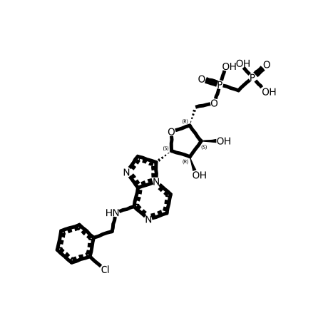 O=P(O)(O)CP(=O)(O)OC[C@H]1O[C@@H](c2cnc3c(NCc4ccccc4Cl)nccn23)[C@H](O)[C@@H]1O